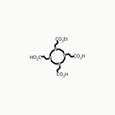 CCOC(=O)CCN1CCN(CCC(=O)O)CCN(CCC(=O)O)CCN(CCC(=O)O)CC1